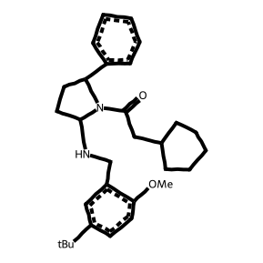 COc1ccc(C(C)(C)C)cc1CNC1CCC(c2ccccc2)N1C(=O)CC1CCCCC1